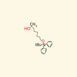 CC(O)CCCCCCO[Si](c1ccccc1)(c1ccccc1)C(C)(C)C